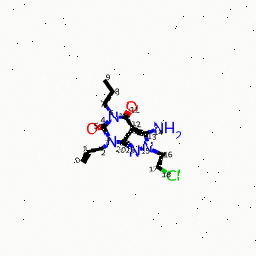 C=CCn1c(=O)n(CCC)c(=O)c2c(N)n(CCCl)nc21